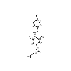 COc1ccc(COc2c(C)cc(C3CC3C#N)cc2C)cc1